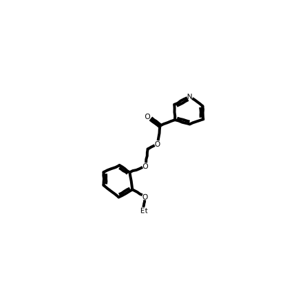 CCOc1ccccc1OCOC(=O)c1cccnc1